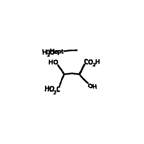 CCCCCCCC.O.O=C(O)C(O)C(O)C(=O)O